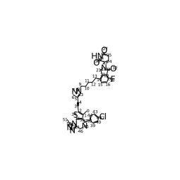 Cc1c(C#Cc2cnn(CCCCCc3ccc(F)c4c3CN(C3CCC(=O)NC3=O)C4=O)c2)sc2c1C(c1ccc(Cl)cc1)=NCc1nnc(C)n1-2